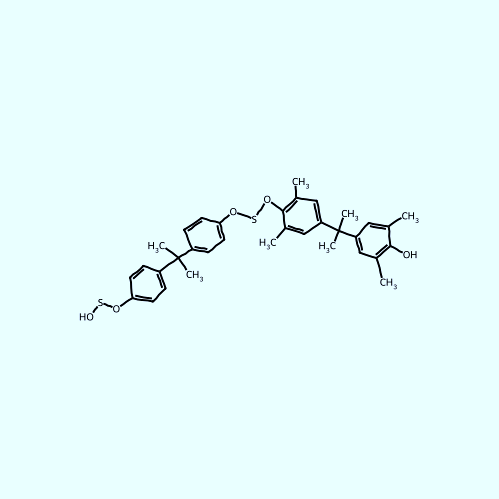 Cc1cc(C(C)(C)c2cc(C)c(OSOc3ccc(C(C)(C)c4ccc(OSO)cc4)cc3)c(C)c2)cc(C)c1O